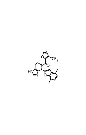 Cc1ccc(C)c2oc([C@H]3c4nc[nH]c4CCN3C(=O)c3ocnc3C(F)(F)F)cc12